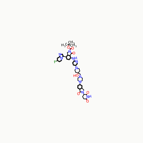 CC(C)(C)OC(=O)N1Cc2c(-c3cnc4cc(F)ccn34)ccc(Nc3ccc(N4CCC(O)(CN5CCN(c6ccc7c(c6)CN(C6CCC(=O)NC6=O)C7=O)CC5)CC4)cn3)c2C1=O